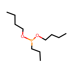 CCCCOP(CCC)OCCCC